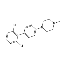 CN1CCN(c2[c]cc(-c3c(Cl)cccc3Cl)cc2)CC1